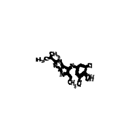 CCC1=Nn2nc(C(C)C)nc2C1=Nc1cc(Cl)c(O)c(Cl)c1